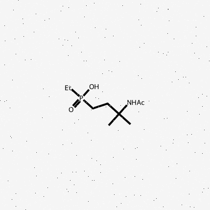 CCP(=O)(O)CCC(C)(C)NC(C)=O